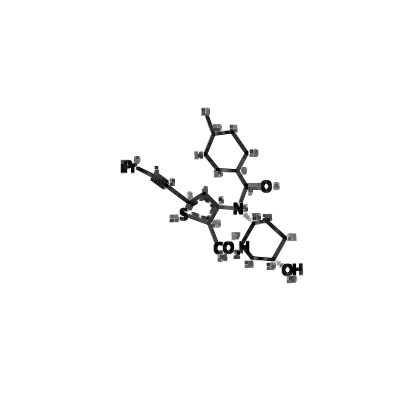 CC(C)C#Cc1cc(N(C(=O)C2CCC(C)CC2)[C@H]2CC[C@@H](O)CC2)c(C(=O)O)s1